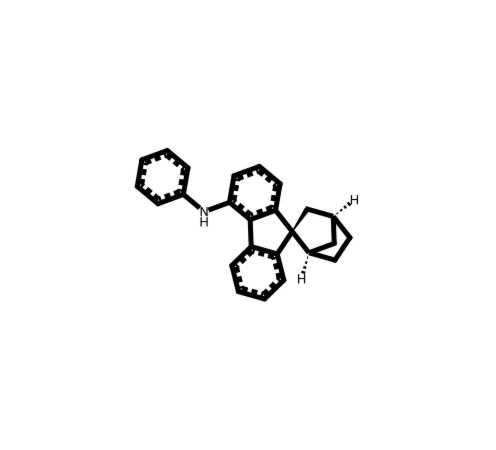 c1ccc(Nc2cccc3c2-c2ccccc2[C@]32C[C@H]3CC[C@@H]2C3)cc1